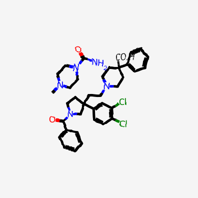 CN1CCN(C(N)=O)CC1.O=C(c1ccccc1)N1CCC(CCN2CCC(C(=O)O)(c3ccccc3)CC2)(c2ccc(Cl)c(Cl)c2)C1